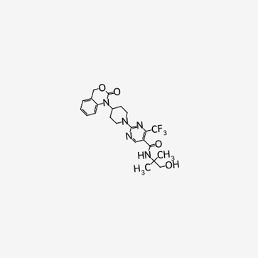 CC(C)(CO)NC(=O)c1cnc(N2CCC(N3C(=O)OCc4ccccc43)CC2)nc1C(F)(F)F